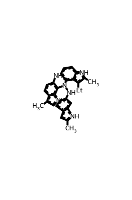 CCc1c(C)[nH]c2cccc(N(Nc3ccc4cc(C)[nH]c4c3)c3c(N)ccc4c(C)c[nH]c34)c12